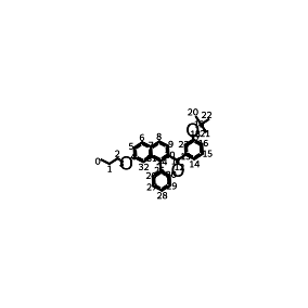 CCCOc1ccc2ccc(C(=O)c3cccc(OC(C)(C)C)c3)c(-c3ccccc3)c2c1